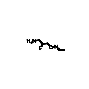 C/C=N/OCC(F)CN